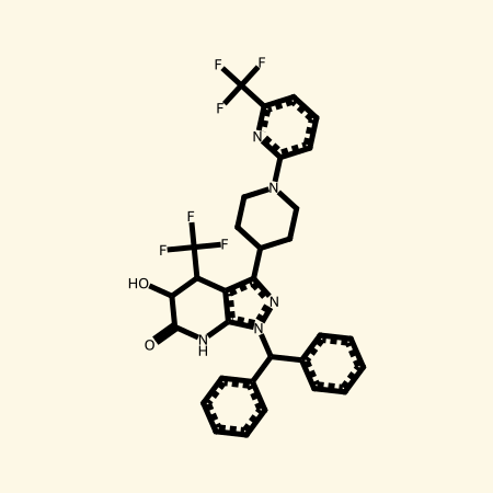 O=C1Nc2c(c(C3CCN(c4cccc(C(F)(F)F)n4)CC3)nn2C(c2ccccc2)c2ccccc2)C(C(F)(F)F)C1O